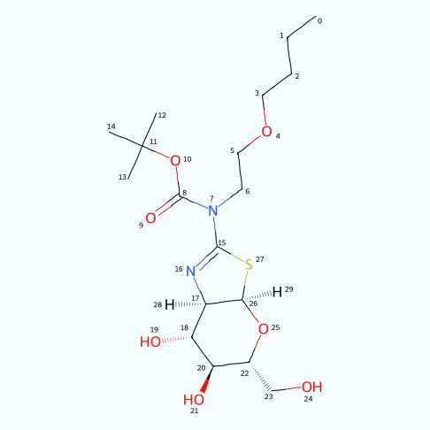 CCCCOCCN(C(=O)OC(C)(C)C)C1=N[C@@H]2[C@@H](O)[C@H](O)[C@@H](CO)O[C@@H]2S1